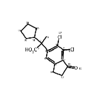 CC(C(=O)O)(c1cc2c(c(Cl)c1Cl)C(=O)CC2)C1CCCC1